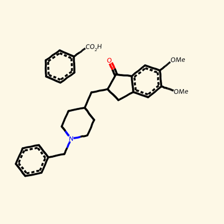 COc1cc2c(cc1OC)C(=O)C(CC1CCN(Cc3ccccc3)CC1)C2.O=C(O)c1ccccc1